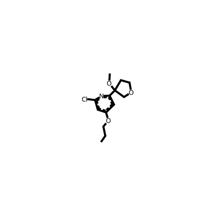 CCCOc1cc(Cl)nc(C2(OC)CCOC2)c1